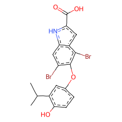 CC(C)c1cc(Oc2c(Br)cc3[nH]c(C(=O)O)cc3c2Br)ccc1O